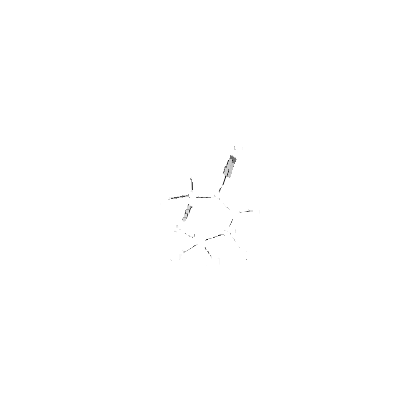 N#CN1P(Cl)N(Cl)[PH](Cl)(Cl)N=P1(Cl)Cl